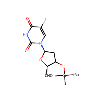 CC(C)(C)[Si](C)(C)OC1C[C@H](n2cc(F)c(=O)[nH]c2=O)O[C@@H]1C=O